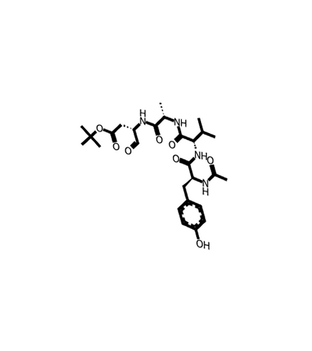 CC(=O)N[C@@H](Cc1ccc(O)cc1)C(=O)N[C@H](C(=O)N[C@@H](C)C(=O)N[C@H](C=O)CC(=O)OC(C)(C)C)C(C)C